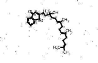 CC(C)=CCC/C(C)=C/CC/C(C)=C/CCC(C)(O)CCC1=CC(=O)c2ccccc2C1=O